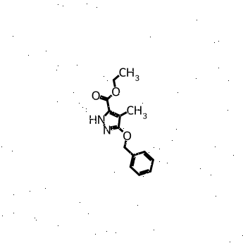 CCOC(=O)c1[nH]nc(OCc2ccccc2)c1C